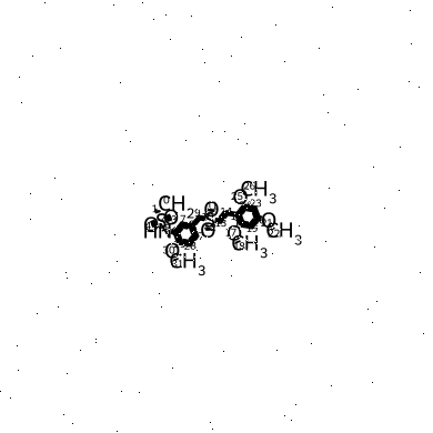 C=CS(=O)(=O)Nc1cc(CS(=O)(=O)/C=C/c2c(OC)cc(OC)cc2OC)ccc1OC